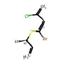 C=C[C@@H](CC)S/C(Br)=C\C(=C)Cl